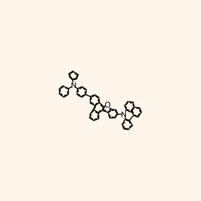 c1ccc(-c2ccccc2N(c2ccccc2)c2ccc3c(c2)oc2c4ccc(-c5ccc(N(c6ccccc6)c6ccccc6)cc5)cc4c4ccccc4c32)cc1